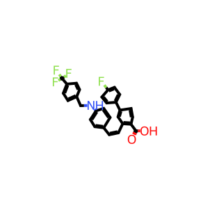 O=C(O)c1ccc(-c2ccc(F)cc2)cc1/C=C\c1ccc(NCc2ccc(C(F)(F)F)cc2)cc1